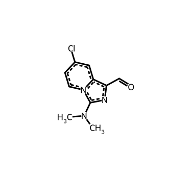 CN(C)c1nc(C=O)c2cc(Cl)ccn12